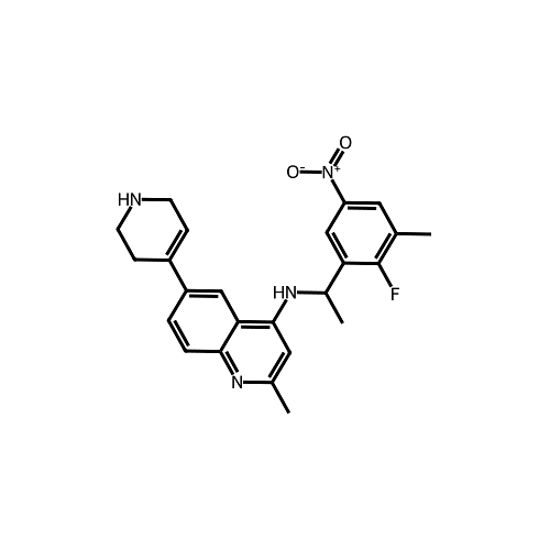 Cc1cc(NC(C)c2cc([N+](=O)[O-])cc(C)c2F)c2cc(C3=CCNCC3)ccc2n1